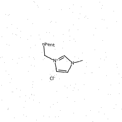 CCCCCC[n+]1ccn(C)c1.[Cl-]